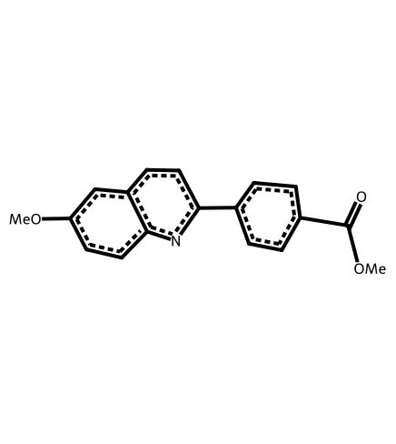 COC(=O)c1ccc(-c2ccc3cc(OC)ccc3n2)cc1